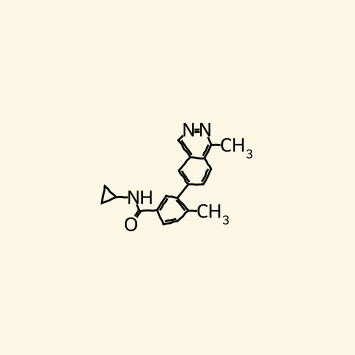 Cc1ccc(C(=O)NC2CC2)cc1-c1ccc2c(C)nncc2c1